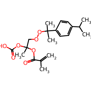 C=C(C)C(=O)OC(C)(COOC(C)(C)c1ccc(C(C)C)cc1)OC(=O)O